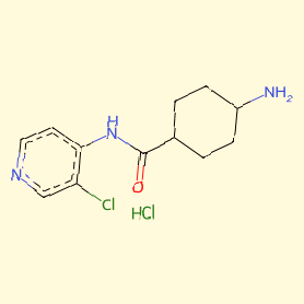 Cl.NC1CCC(C(=O)Nc2ccncc2Cl)CC1